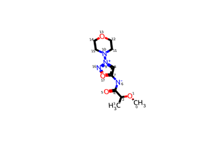 COC(C)C(=O)[N-]c1c[n+](N2CCOCC2)no1